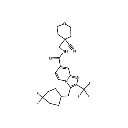 N#CC1(CNC(=O)c2ccn3c(CC4CCC(F)(F)CC4)c(C(F)(F)F)nc3c2)CCOCC1